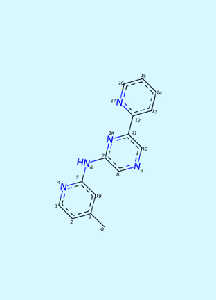 Cc1ccnc(Nc2cncc(-c3ccccn3)n2)c1